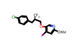 COc1cc(I)c(OC[C@@H](Cc2ccc(Cl)cc2)C(F)(F)F)cn1